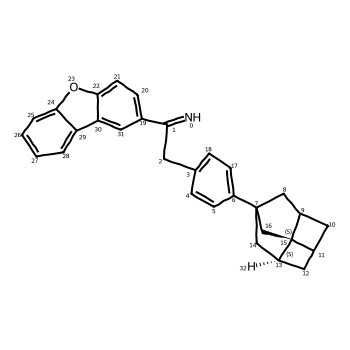 N=C(Cc1ccc(C23CC4CC5C[C@@H](C2)[C@@]54C3)cc1)c1ccc2oc3ccccc3c2c1